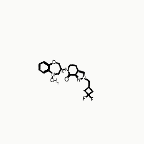 CN1C[C@H](N2CCc3cn(CC4CC(F)(F)C4)nc3C2=O)COc2ccccc21